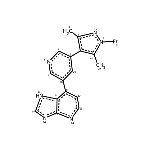 CCn1nc(C)c(-c2cncc(-c3ccnc4nc[nH]c34)c2)c1C